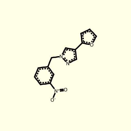 O=[N+]([O-])c1cccc(Cn2cc(-c3ccco3)cn2)c1